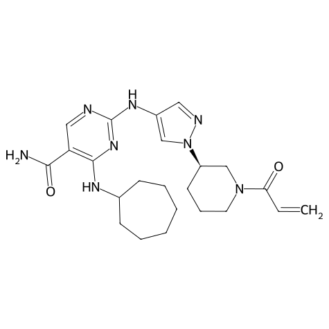 C=CC(=O)N1CCC[C@@H](n2cc(Nc3ncc(C(N)=O)c(NC4CCCCCC4)n3)cn2)C1